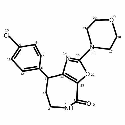 O=C1NCCC(c2ccc(Cl)cc2)c2nc(N3CCOCC3)oc21